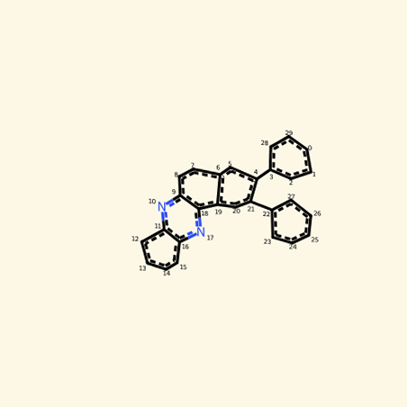 c1ccc(-c2cc3ccc4nc5ccccc5nc4c3cc2-c2ccccc2)cc1